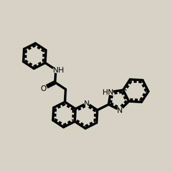 O=C(Cc1cccc2ccc(-c3nc4ccccc4[nH]3)nc12)Nc1ccccc1